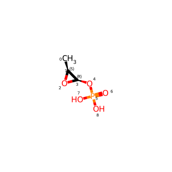 C[C@@H]1O[C@@H]1OP(=O)(O)O